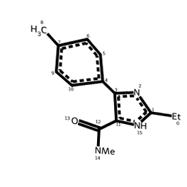 CCc1nc(-c2ccc(C)cc2)c(C(=O)NC)[nH]1